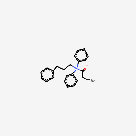 CC(=O)OCC(=O)[N+](CCCc1ccccc1)(c1ccccc1)c1ccccc1